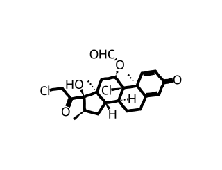 C[C@@H]1C[C@H]2[C@@H]3CCC4=CC(=O)C=C[C@]4(C)[C@@]3(Cl)[C@@H](OC=O)C[C@]2(C)[C@@]1(O)C(=O)CCl